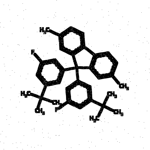 Cc1ccc2c(c1)C(c1cc(F)cc(C(C)(C)C)c1)(c1cc(F)cc(C(C)(C)C)c1)c1cc(C)ccc1-2